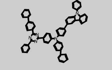 c1ccc(-c2ccc(-c3nc(-c4ccccc4)nc(-c4ccc(N(c5ccc(-c6ccccc6)cc5)c5ccc(-c6ccc7c(c6)c6ccccc6n7-c6ccccc6)cc5)cc4)n3)cc2)cc1